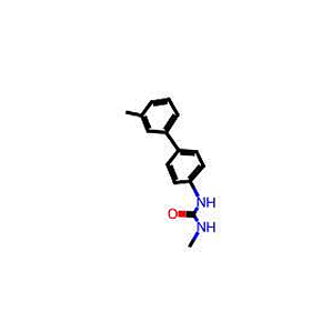 CNC(=O)Nc1ccc(-c2cccc(C)c2)cc1